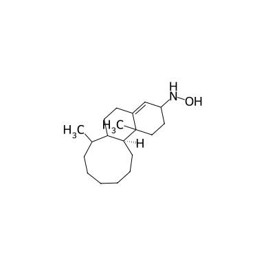 CC1CCCCCC[C@H]2C1CCC1=CC(NO)CCC12C